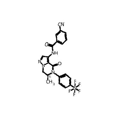 C[C@H]1Cn2ncc(NC(=O)c3cccc(C#N)c3)c2C(=O)N1c1ccc(S(F)(F)(F)(F)F)cc1